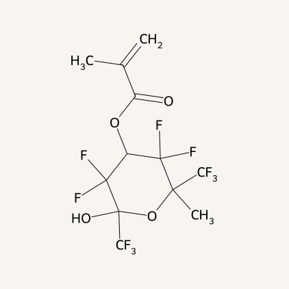 C=C(C)C(=O)OC1C(F)(F)C(C)(C(F)(F)F)OC(O)(C(F)(F)F)C1(F)F